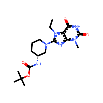 CCn1c(N2CCC[C@@H](NC(=O)OC(C)(C)C)C2)nc2c1c(=O)[nH]c(=O)n2C